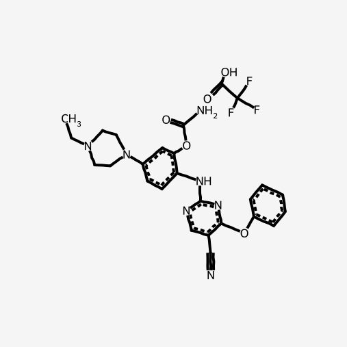 CCN1CCN(c2ccc(Nc3ncc(C#N)c(Oc4ccccc4)n3)c(OC(N)=O)c2)CC1.O=C(O)C(F)(F)F